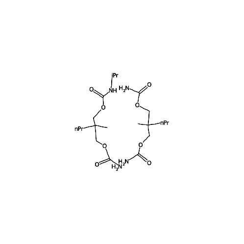 CCCC(C)(COC(N)=O)COC(=O)NC(C)C.CCCC(C)(COC(N)=O)COC(N)=O